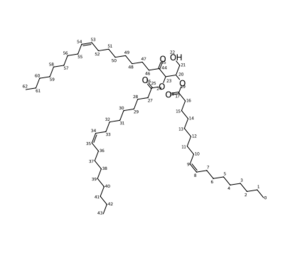 CCCCCCCC/C=C\CCCCCCCC(=O)OC(CO)C(OC(=O)CCCCCCC/C=C\CCCCCCCC)C(=O)CCCCCCC/C=C\CCCCCCCC